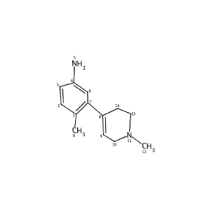 Cc1ccc(N)cc1C1=CCN(C)CC1